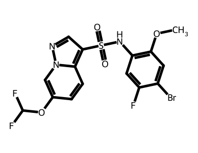 COc1cc(Br)c(F)cc1NS(=O)(=O)c1cnn2cc(OC(F)F)ccc12